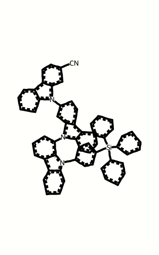 N#Cc1ccc2c3ccccc3n(-c3ccc4c5ccccc5n(-c5cccc6c7ccccc7n(-c7ccc([Si](c8ccccc8)(c8ccccc8)c8ccccc8)cc7)c56)c4c3)c2c1